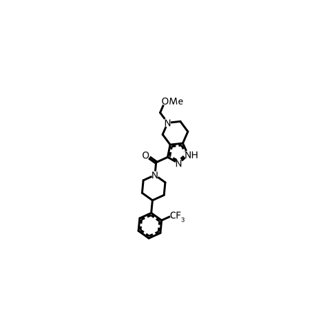 COCN1CCc2[nH]nc(C(=O)N3CCC(c4ccccc4C(F)(F)F)CC3)c2C1